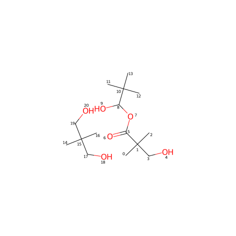 CC(C)(CO)C(=O)OC(O)C(C)(C)C.CC(C)(CO)CO